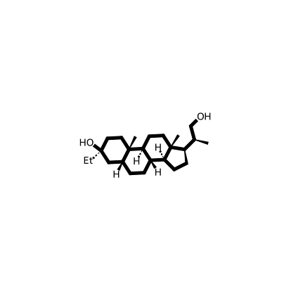 CC[C@]1(O)CC[C@@]2(C)[C@H](CC[C@@H]3[C@@H]2CC[C@]2(C)[C@@H]([C@H](C)CO)CC[C@@H]32)C1